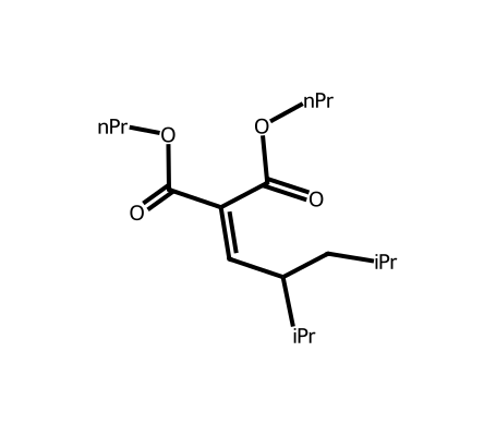 CCCOC(=O)C(=CC(CC(C)C)C(C)C)C(=O)OCCC